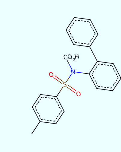 Cc1ccc(S(=O)(=O)N(C(=O)O)c2ccccc2-c2ccccc2)cc1